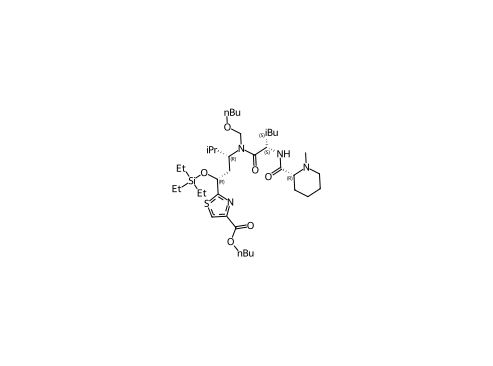 CCCCOCN(C(=O)[C@@H](NC(=O)[C@H]1CCCCN1C)[C@@H](C)CC)[C@H](C[C@@H](O[Si](CC)(CC)CC)c1nc(C(=O)OCCCC)cs1)C(C)C